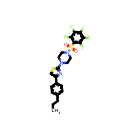 CCCc1ccc(-c2csc(N3CCN(S(=O)(=O)c4c(F)c(F)c(F)c(F)c4F)CC3)n2)cc1